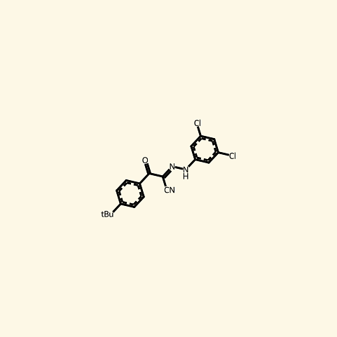 CC(C)(C)c1ccc(C(=O)/C(C#N)=N/Nc2cc(Cl)cc(Cl)c2)cc1